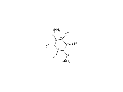 NCC1C(Cl)C(Cl)C(CN)C(Cl)C1Cl